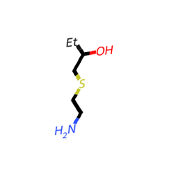 CCC(O)CSCCN